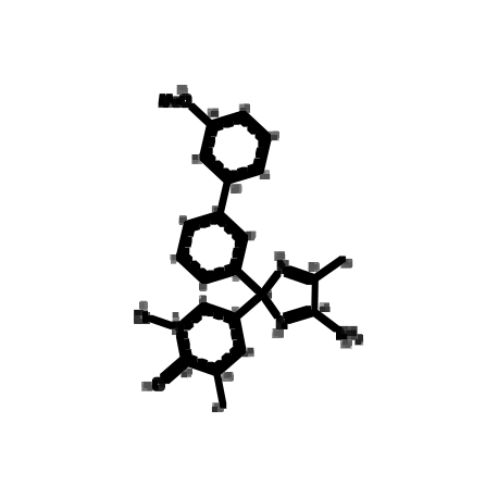 CCn1cc(C2(c3cccc(-c4cccc(OC)c4)c3)N=C(C)C(N)=N2)cc(C)c1=O